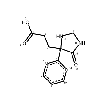 O=C(O)CCC1(c2ncccn2)NCNC1=O